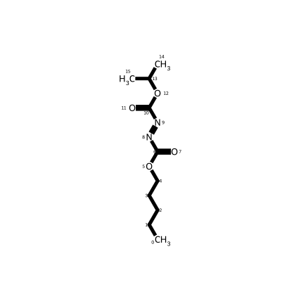 CCCCCOC(=O)/N=N/C(=O)OC(C)C